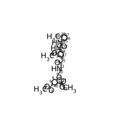 COC(=O)c1ccc(OCCNCC(=O)Cc2ccc(NC(=O)Nc3ccccc3C)c(OC)c2)c(C(=O)OC)c1